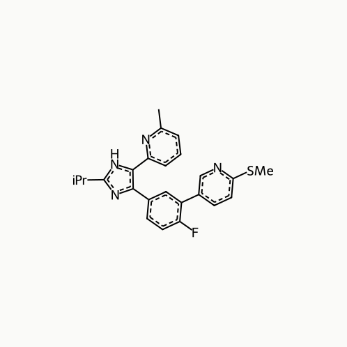 CSc1ccc(-c2cc(-c3nc(C(C)C)[nH]c3-c3cccc(C)n3)ccc2F)cn1